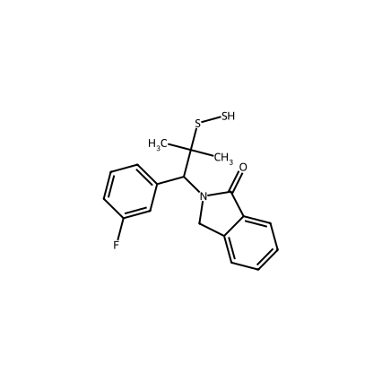 CC(C)(SS)C(c1cccc(F)c1)N1Cc2ccccc2C1=O